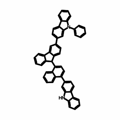 c1ccc(-n2c3ccccc3c3ccc(-c4ccc5c(c4)-c4ccccc4C5c4ccc(-c5ccc6c(c5)[nH]c5ccccc56)c5ccccc45)cc32)cc1